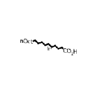 CCCCCCCCCCCCCCCCCC(=O)O.[Ir]